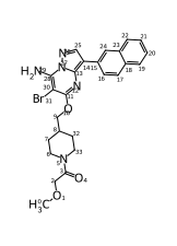 COCC(=O)N1CCC(COc2nc3c(-c4ccc5ccccc5c4)cnn3c(N)c2Br)CC1